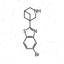 Brc1ccc2sc(C34CNCC(C3)C4)nc2c1